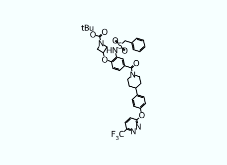 CC(C)(C)OC(=O)N1CC(Oc2ccc(C(=O)N3CCC(c4ccc(Oc5ccc(C(F)(F)F)nn5)cc4)CC3)cc2NS(=O)(=O)Cc2ccccc2)C1